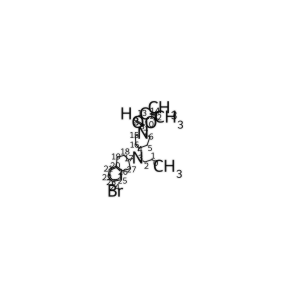 CCCN(C1CCN(C(=O)OC(C)(C)C)CC1)C1CCc2ccc(Br)cc2C1